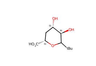 CC(C)(C)C1O[C@H](C(=O)O)C[C@H](O)[C@H]1O